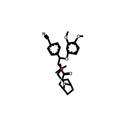 COc1ccc(OC(CCCN2CC3CCC(C2)N3CC(=O)C(C)(C)C)c2ccc(C#N)cc2)cc1OC